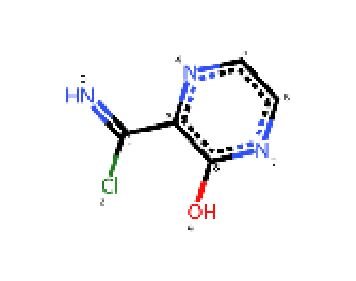 N=C(Cl)c1nccnc1O